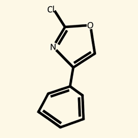 Clc1nc(-c2ccccc2)co1